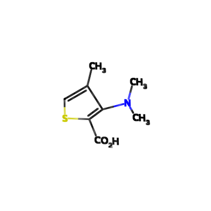 Cc1csc(C(=O)O)c1N(C)C